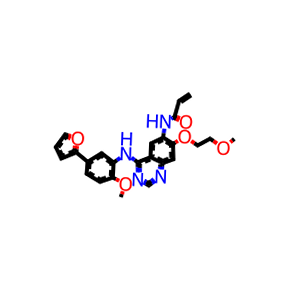 C=CC(=O)Nc1cc2c(Nc3cc(-c4ccco4)ccc3OC)ncnc2cc1OCCOC